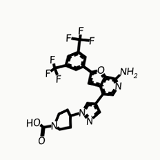 Nc1ncc(-c2cnn(C3CCN(C(=O)O)CC3)c2)c2cc(-c3cc(C(F)(F)F)cc(C(F)(F)F)c3)oc12